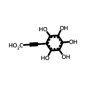 O=C(O)C#Cc1c(O)c(O)c(O)c(O)c1O